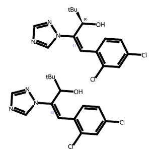 CC(C)(C)C(O)/C(=C\c1ccc(Cl)cc1Cl)n1cncn1.CC(C)(C)[C@@H](O)/C(=C\c1ccc(Cl)cc1Cl)n1cncn1